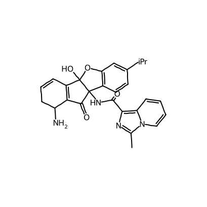 Cc1nc(C(=O)NC23C(=O)C4=C(C=CCC4N)C2(O)Oc2cc(C(C)C)ccc23)c2ccccn12